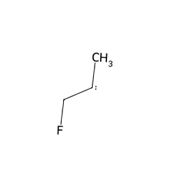 C[C]CF